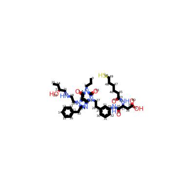 CCCn1c(=O)c2c(nc(Cc3ccccc3)n2CCNCC(O)CC)n(CCc2cccc(NC(=O)C(CC(=O)O)NC(=O)CCCCCS)c2)c1=O